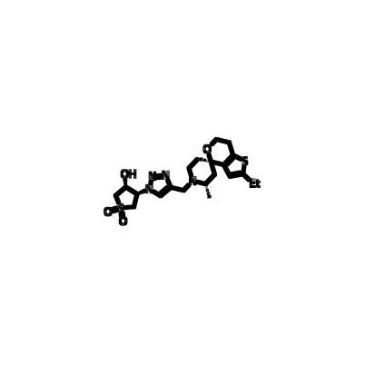 CCc1cc2c(s1)CCO[C@@]21CCN(Cc2cn([C@H]3CS(=O)(=O)C[C@H]3O)nn2)[C@@H](C)C1